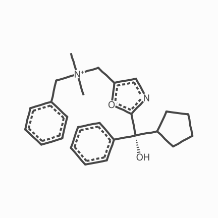 C[N+](C)(Cc1ccccc1)Cc1cnc([C@](O)(c2ccccc2)C2CCCC2)o1